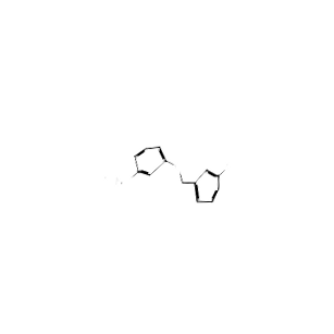 CC(=O)Nc1cccc(OCc2cccc(Cl)c2)c1